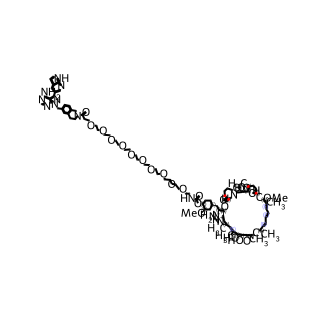 CO[C@H]1C[C@@H]2CC[C@@H](C)[C@@](O)(O2)C(=O)C(=O)N2CCCC[C@H]2C(=O)O[C@H]([C@H](N)C[C@@H]2CC[C@@H](OC(=O)NCCOCCOCCOCCOCCOCCOCCOCCOCCOCCOCCC(=O)N3CCc4cc(Cn5nc(-c6cnc7[nH]ccc7c6)c6c(N)ncnc65)ccc4C3)[C@H](OC)C2)CC(N=[N+]=[N-])[C@H](C)/C=C(\C)[C@@H](O)[C@@H](O)C(=O)[C@H](C)C[C@H](C)/C=C/C=C/C=C/1C